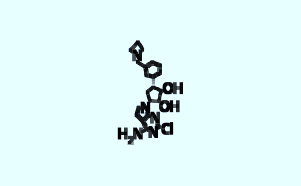 Nc1nc(Cl)nc2c1ccn2[C@@H]1C[C@H](c2cccc(CN3CCC3)c2)[C@@H](O)[C@H]1O